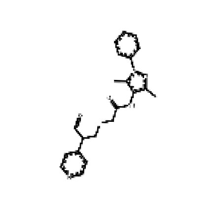 Cc1nn(-c2ccccc2)c(C)c1NC(=O)COCC(C=O)c1ccncc1